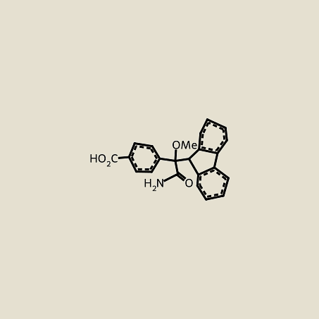 COC(C(N)=O)(c1ccc(C(=O)O)cc1)C1c2ccccc2-c2ccccc21